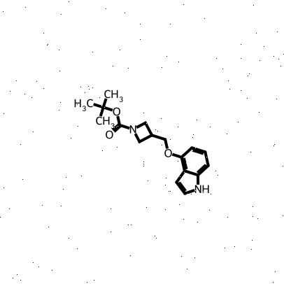 CC(C)(C)OC(=O)N1CC(COc2cccc3[nH]ccc23)C1